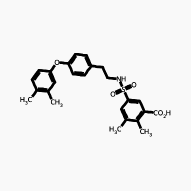 Cc1ccc(Oc2ccc(CCNS(=O)(=O)c3cc(C)c(C)c(C(=O)O)c3)cc2)cc1C